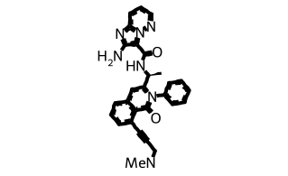 CNCC#Cc1cccc2cc([C@H](C)NC(=O)c3c(N)nc4cccnn34)n(-c3ccccc3)c(=O)c12